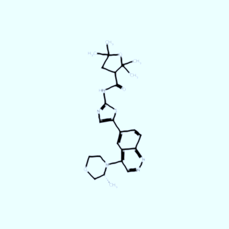 C[C@@H]1COCCN1c1cnnc2ccc(-c3cnc(NC(=O)C4CC(C)(C)OC4(C)C)s3)cc12